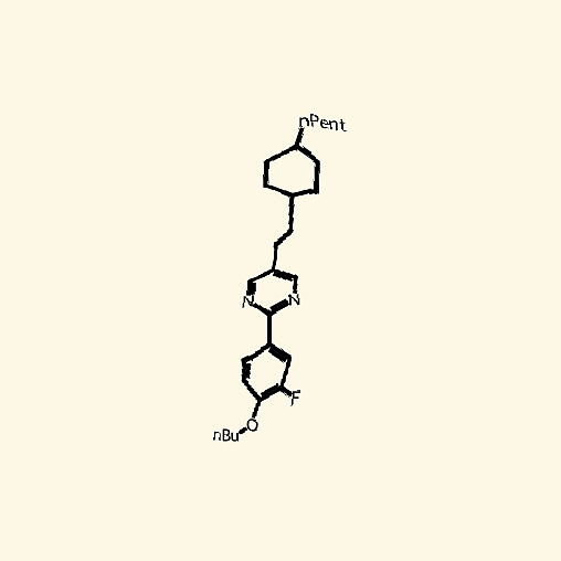 CCCCCC1CCC(CCc2cnc(-c3ccc(OCCCC)c(F)c3)nc2)CC1